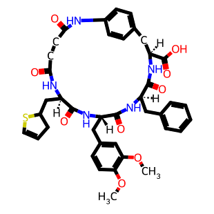 COc1ccc(C[C@@H]2NC(=O)[C@@H](CC3CC=CS3)NC(=O)CCC(=O)Nc3ccc(cc3)C[C@@H](C(=O)O)NC(=O)[C@@H](Cc3ccccc3)NC2=O)cc1OC